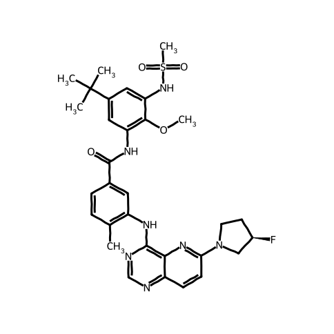 COc1c(NC(=O)c2ccc(C)c(Nc3ncnc4ccc(N5CC[C@@H](F)C5)nc34)c2)cc(C(C)(C)C)cc1NS(C)(=O)=O